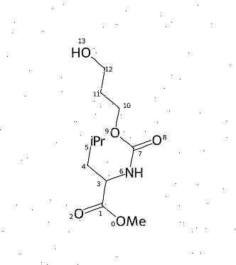 COC(=O)C(CC(C)C)NC(=O)OCCCO